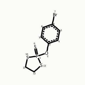 S=P1(Oc2ccc(Br)cc2)SCCS1